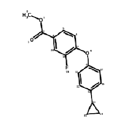 COC(=O)c1ccc(Oc2ccc(C3CC3)cc2)c(F)c1